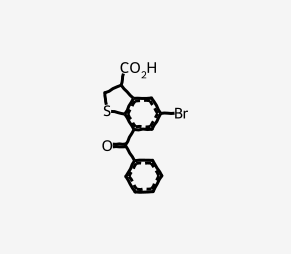 O=C(c1ccccc1)c1cc(Br)cc2c1SCC2C(=O)O